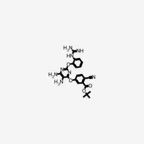 CC(C)(C)OC(=O)c1cc(Oc2nc(Oc3ccccc3NC(=N)N)nc(N)c2N)ccc1C#N